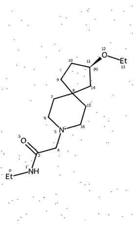 CCNC(=O)CN1CCC2(CC[C@@H](OCC)C2)CC1